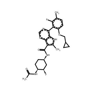 CC(=O)N[C@H]1CC[C@@H](NC(=O)c2c(C)[nH]c3c(-c4c(OCC5CC5)ccc(C)c4F)ncnc23)C[C@H]1F